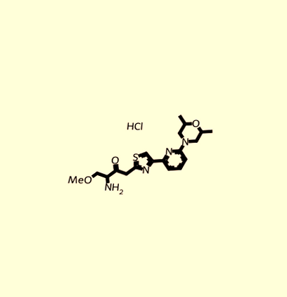 COCC(N)C(=O)Cc1nc(-c2cccc(N3CC(C)OC(C)C3)n2)cs1.Cl